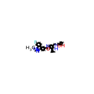 Cn1cnnc1-c1cc(F)ccc1-c1cccc(-c2nc3cc(CNCC4(O)CCC4)cc(C4CC4)c3o2)c1